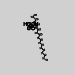 CCCCCCCCCCCCCC(CCCCC)OP(=O)(O)O